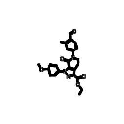 CCOC(=O)c1nn(-c2ccc(OC)cc2)c2c1CCN(c1ccc(C=O)c(C)c1)C2=O